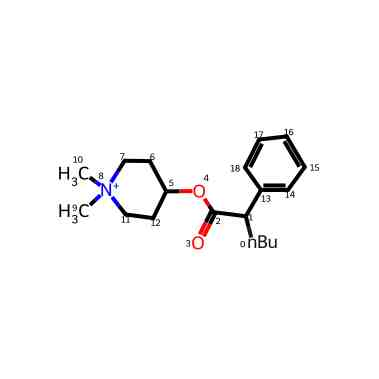 CCCCC(C(=O)OC1CC[N+](C)(C)CC1)c1ccccc1